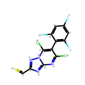 Fc1cc(F)c(-c2c(Cl)nc3nc(C=S)nn3c2Cl)c(F)c1